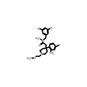 COCCN1CCC(CC(=O)N(C)Cc2cc(Cl)cc(Cl)c2)(c2ccc(F)cc2C)CC1